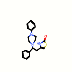 O=c1[nH]c(CC(c2ccccc2)N2CCN(c3ccccc3)CC2)cs1